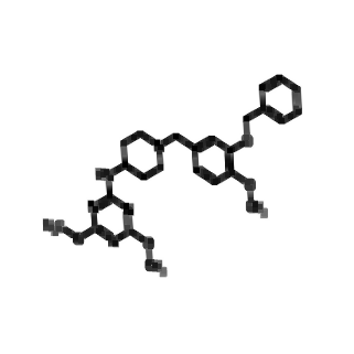 COc1nc(NC2CCN(Cc3ccc(OC)c(OCc4ccccc4)c3)CC2)nc(OC)n1